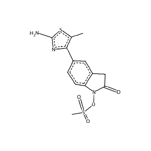 Cc1sc(N)nc1-c1ccc2c(c1)CC(=O)N2OS(C)(=O)=O